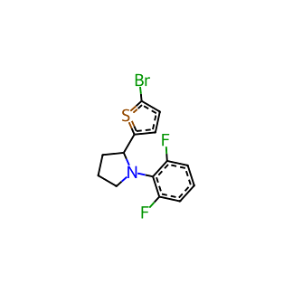 Fc1cccc(F)c1N1CCCC1c1ccc(Br)s1